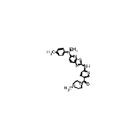 Cc1ccc(N(C)c2ccc3nc(Nc4ccc(C(=O)N5CCN(C)CC5)cn4)sc3n2)cc1